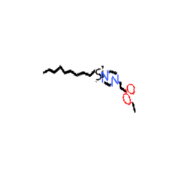 CCCCCCCCCC[Si](C)(C)N1CCN(CCC(=O)OCC)CC1